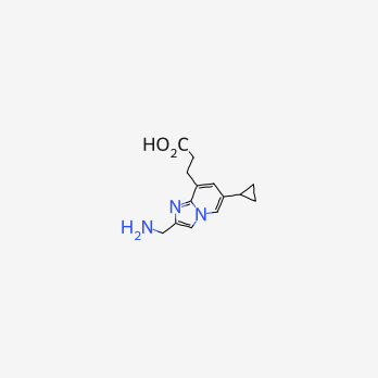 NCc1cn2cc(C3CC3)cc(CCC(=O)O)c2n1